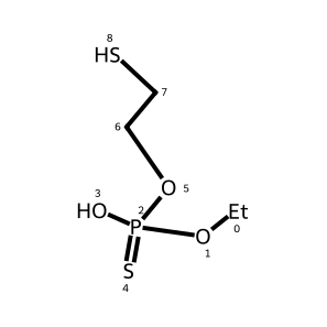 CCOP(O)(=S)OCCS